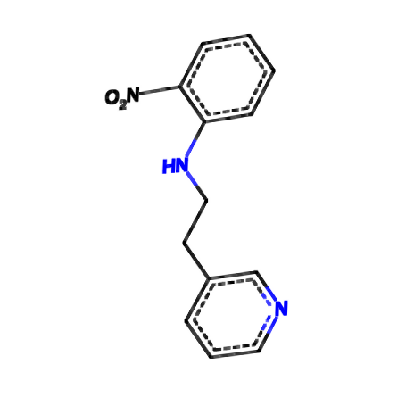 O=[N+]([O-])c1ccccc1NCCc1cccnc1